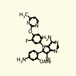 COc1cc(N)ccc1-c1c(Br)c2ncnc(N)c2n1-c1ccc(Oc2nccc(C)n2)c(F)c1